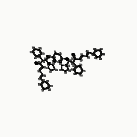 O=C(/C=C\C(=O)OC(C(C(=O)C=CC=Cc1ccccc1)c1ccccc1)N1CCCC1)OC(C(C(=O)C=CC=Cc1ccccc1)c1ccccc1)N1CCCC1